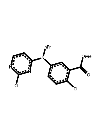 CCCN(c1ccc(Cl)c(C(=O)OC)c1)c1ccnc(Cl)n1